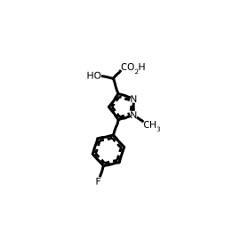 Cn1nc(C(O)C(=O)O)cc1-c1ccc(F)cc1